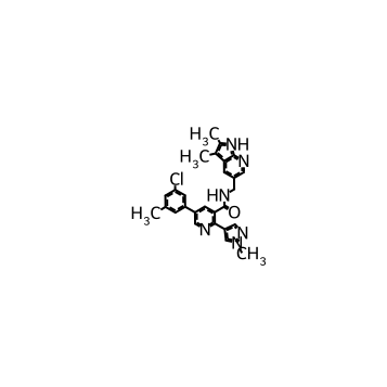 Cc1cc(Cl)cc(-c2cnc(-c3cnn(C)c3)c(C(=O)NCc3cnc4[nH]c(C)c(C)c4c3)c2)c1